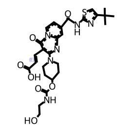 CC(C)(C)c1csc(NC(=O)c2ccn3c(=O)c(/C=C/C(=O)O)c(N4CCC(OC(=O)NCCO)CC4)nc3c2)n1